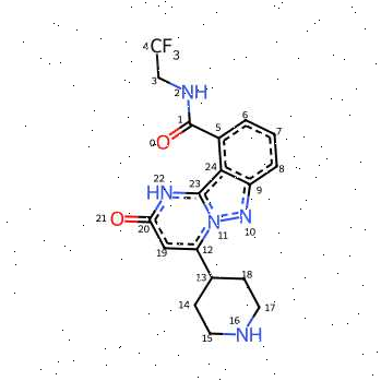 O=C(NCC(F)(F)F)c1cccc2nn3c(C4CCNCC4)cc(=O)[nH]c3c12